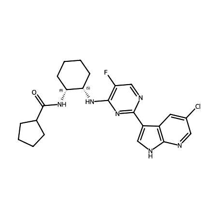 O=C(N[C@@H]1CCCC[C@@H]1Nc1nc(-c2c[nH]c3ncc(Cl)cc23)ncc1F)C1CCCC1